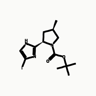 C[C@@H]1C[C@@H](c2nc(I)c[nH]2)N(C(=O)OC(C)(C)C)C1